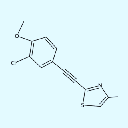 COc1ccc(C#Cc2nc(C)cs2)cc1Cl